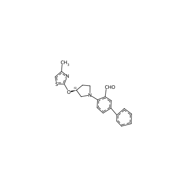 Cc1csc(O[C@H]2CCN(c3ccc(-c4ccccc4)cc3C=O)C2)n1